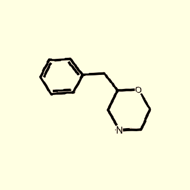 c1ccc(CC2C[N]CCO2)cc1